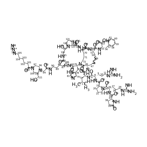 CC(C)C[C@H](NC(=O)[C@H](CCCNC(=N)N)NC(=O)[C@@H]1CCCN1C(=O)[C@H](CCCNC(=N)N)NC(=O)[C@@H]1CCC(=O)N1)C(=O)N[C@H]1CSSC[C@@H](C(=O)N[C@@H](Cc2ccccc2)C(=O)O)NC(=O)[C@@H]2CCCN(C1=O)[C@@H](Cc1cnc[nH]1)C(=O)N[C@@H](CCCCNC(=O)CN1CCN(C(=O)CCCCCN=[N+]=[N-])CC1CO)C(=O)NCC(O)N1CCC[C@H]1C(=O)N2